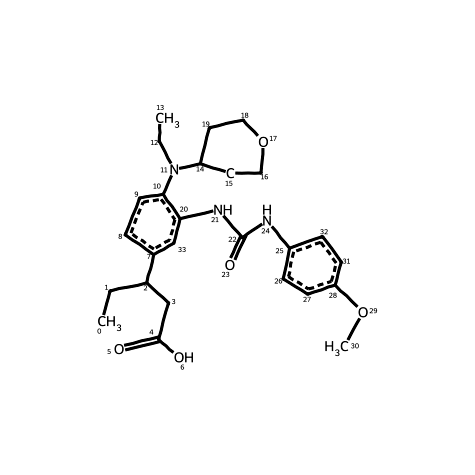 CCC(CC(=O)O)c1ccc(N(CC)C2CCOCC2)c(NC(=O)Nc2ccc(OC)cc2)c1